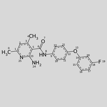 Cc1cc(C)c(C(=O)Nc2ccc(Oc3cccc(F)c3)cc2)c(N)n1